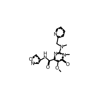 COc1c(C(=O)Nc2cnoc2)nc(N(C)Cc2ccccn2)n(C)c1=O